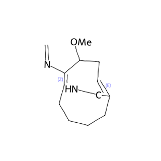 C=N/C1=C2/CCCC/C(=C\CC1OC)CN2